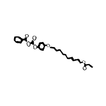 C=CC(=O)OCCCCCCCCCCCOc1ccc(OC(=O)OC(=O)c2ccccc2)cc1